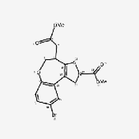 COC(=O)CC1COc2ccc(Br)cc2C2=C1SN(C(=O)OC)C2